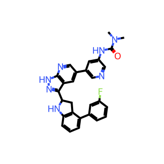 CN(C)C(=O)Nc1cncc(-c2cnc3[nH]nc(C4Cc5c(cccc5-c5cccc(F)c5)N4)c3c2)c1